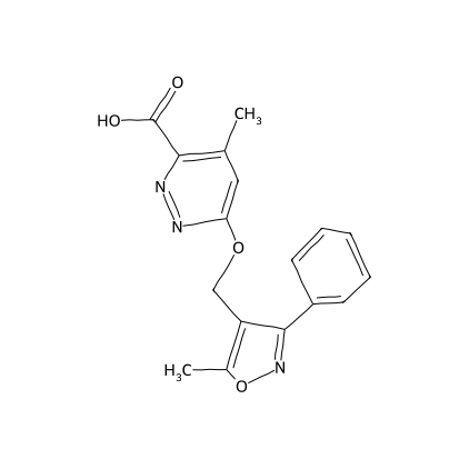 Cc1cc(OCc2c(-c3ccccc3)noc2C)nnc1C(=O)O